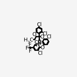 CC(C)C(=O)C(C#N)(Oc1cc(Oc2ncc(C(F)(F)F)cc2Cl)ccc1Cl)c1ccc(Cl)cc1Cl